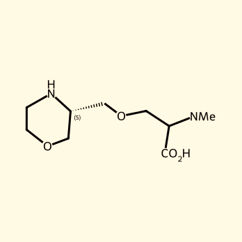 CNC(COC[C@@H]1COCCN1)C(=O)O